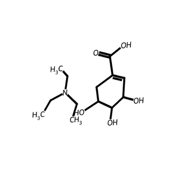 CCN(CC)CC.O=C(O)C1=CC(O)C(O)C(O)C1